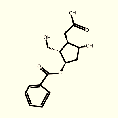 O=C(O)C[C@@H]1[C@@H](CO)[C@H](OC(=O)c2ccccc2)C[C@@H]1O